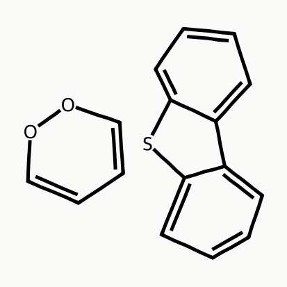 C1=COOC=C1.c1ccc2c(c1)sc1ccccc12